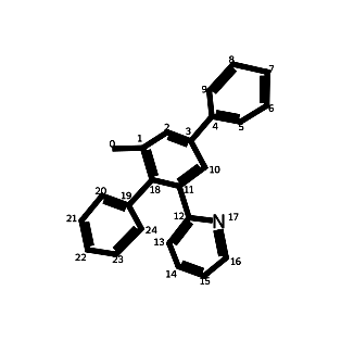 Cc1cc(-c2ccccc2)cc(-c2ccccn2)c1-c1ccccc1